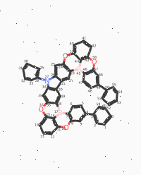 c1ccc(-c2ccc3c(c2)Oc2cccc4c2B3c2cc3c5cc6c(cc5n(-c5ccccc5)c3cc2O4)Oc2cccc3c2B6c2ccc(-c4ccccc4)cc2O3)cc1